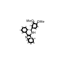 COc1ccc(CNc2c(-c3ccccc3)nc3ccccn23)cc1OC